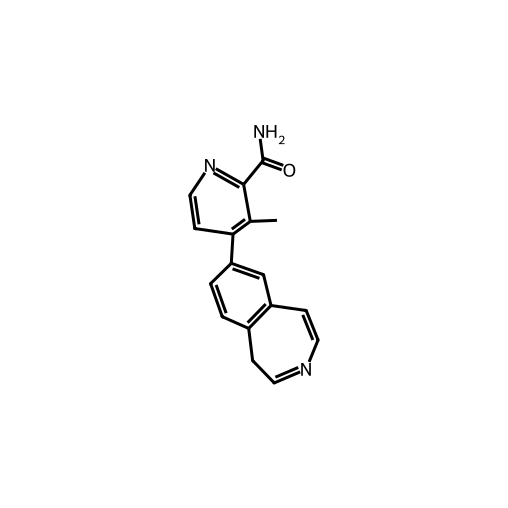 Cc1c(-c2ccc3c(c2)C=CN=CC3)ccnc1C(N)=O